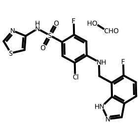 O=CO.O=S(=O)(Nc1cscn1)c1cc(Cl)c(NCc2c(F)ccc3cn[nH]c23)cc1F